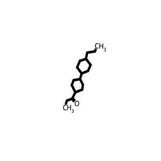 CCCC1CCC(C2CCC(C(=O)CC)CC2)CC1